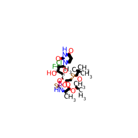 CC(C)OC(=O)[C@@H](C)N[P@@](=S)(OCCSC(=O)C(C)(C)C)OC[C@H]1O[C@@H](n2ccc(=O)[nH]c2=O)[C@](F)(Cl)[C@@H]1O